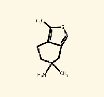 Cc1scc2c1CCC(C)(N)C2